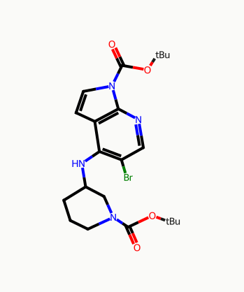 CC(C)(C)OC(=O)N1CCCC(Nc2c(Br)cnc3c2ccn3C(=O)OC(C)(C)C)C1